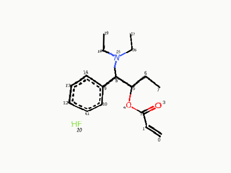 C=CC(=O)OC(CC)C(c1ccccc1)N(CC)CC.F